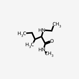 CCNC(C(=O)NC)C(C)CC